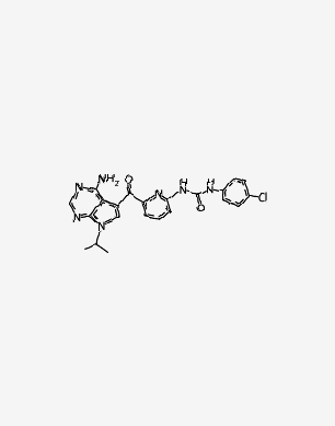 CC(C)n1cc(C(=O)c2cccc(NC(=O)Nc3ccc(Cl)cc3)n2)c2c(N)ncnc21